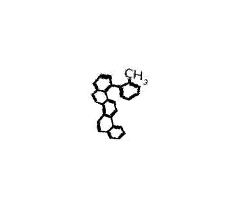 Cc1ccccc1-c1cccc2ccc3c4ccc5ccccc5c4ccc3c12